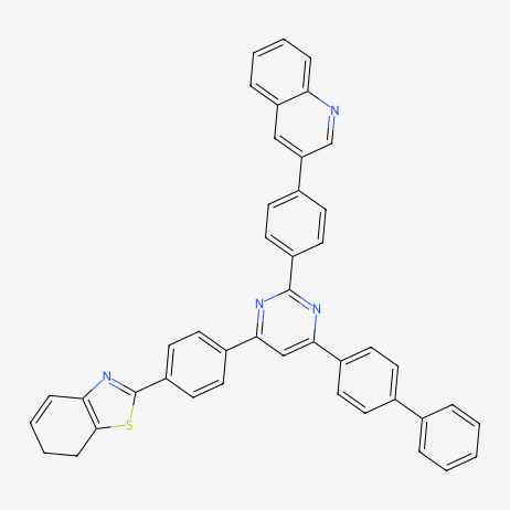 C1=Cc2nc(-c3ccc(-c4cc(-c5ccc(-c6ccccc6)cc5)nc(-c5ccc(-c6cnc7ccccc7c6)cc5)n4)cc3)sc2CC1